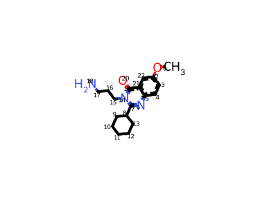 COc1ccc2nc(C3CCCCC3)n(CCCN)c(=O)c2c1